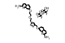 Nc1ccc2ccc(OCCOCCn3cc(COc4ccc5ccc(N)nc5c4)nn3)cc2n1.O=C(O)C(F)(F)F.O=C(O)C(F)(F)F